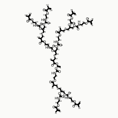 C=C(OC(=O)NCCOC(=O)C(C)CSCC(COC(=O)NCCOC(=O)C(=C)C)OC(=O)NCCOC(=O)C(=C)C)OC(=O)C(C)CSCC(COC(=O)NCCOC(=O)C(C)CSCC(COC(=O)NCCOC(=O)C(=C)C)OC(=O)COC(=O)C(=C)C)OC(=O)NCCOC(=O)C(C)CSCC(COC(=O)NCCOC(=O)C(=C)C)OC(=O)NCCOC(=O)C(=C)C